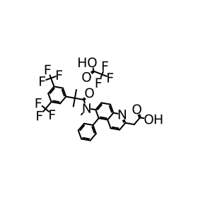 CN(C(=O)C(C)(C)c1cc(C(F)(F)F)cc(C(F)(F)F)c1)c1ccc2nc(CC(=O)O)ccc2c1-c1ccccc1.O=C(O)C(F)(F)F